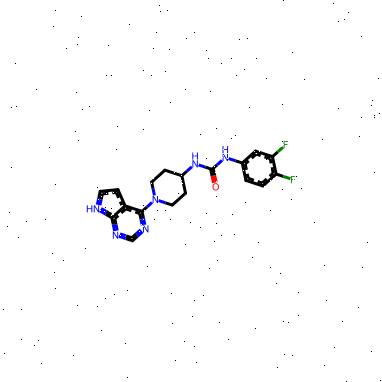 O=C(Nc1ccc(F)c(F)c1)NC1CCN(c2ncnc3[nH]ccc23)CC1